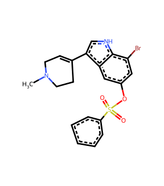 CN1CC=C(c2c[nH]c3c(Br)cc(OS(=O)(=O)c4ccccc4)cc23)CC1